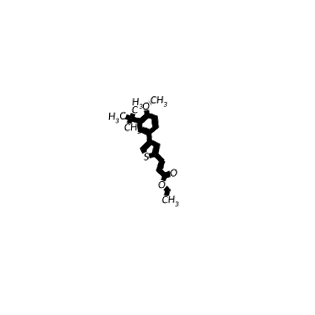 CCOC(=O)C=Cc1cc(-c2ccc(OC)c(C(C)(C)C)c2)cs1